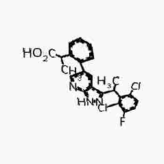 CC(C(=O)O)c1ccccc1-c1cnc2[nH]nc(C(C)c3c(Cl)ccc(F)c3Cl)c2c1